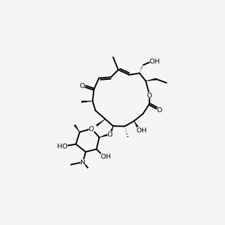 CC[C@H]1OC(=O)C[C@@H](O)[C@H](C)[C@@H](O[C@@H]2O[C@H](C)C(O)C(N(C)C)C2O)[C@@H](C)C[C@@H](C)C(=O)/C=C/C(C)=C/[C@@H]1CO